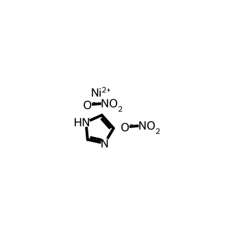 O=[N+]([O-])[O-].O=[N+]([O-])[O-].[Ni+2].c1c[nH]cn1